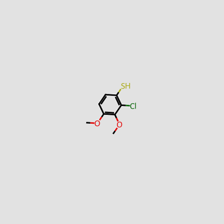 COc1ccc(S)c(Cl)c1OC